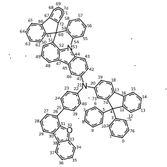 c1ccc(C2(c3ccccc3)c3ccccc3-c3ccc(N(c4ccc(-c5cccc6c5oc5ccccc56)cc4)c4ccc5c(c4)c4cccc6c4n5-c4ccccc4C64c5ccccc5-c5ccccc54)cc32)cc1